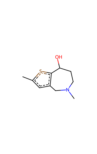 Cc1cc2c(s1)C(O)CCN(C)C2